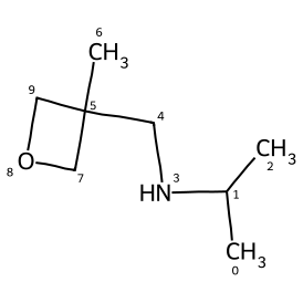 CC(C)NCC1(C)COC1